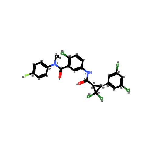 CN(C(=O)c1cc(NC(=O)[C@H]2[C@H](c3cc(Cl)cc(Cl)c3)C2(Cl)Cl)ccc1Cl)c1ccc(F)cc1